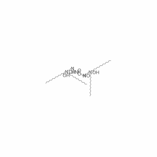 CCCCCCCCCCCCC(O)CN(CCCN(C)CCNC(=O)OCCN(C)CCCN(CC(O)CCCCCCCCCCCC)CC(O)CCCCCCCCCCCC)CC(O)CCCCCCCCCCCC